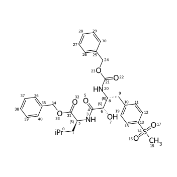 CC(C)C[C@H](NC(=O)[C@@H](O)[C@@H](Cc1ccc(S(C)(=O)=O)cc1)NC(=O)OCc1ccccc1)C(=O)OCc1ccccc1